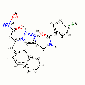 CN(Cc1cn(C(CC(=O)NO)Cc2ccc3ccccc3c2)nn1)C(=O)c1ccc(F)cc1